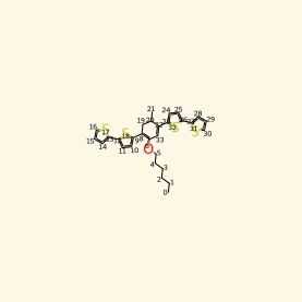 CCCCCCOC1=C(c2ccc(-c3cccs3)s2)CC(C)C(c2ccc(-c3cccs3)s2)=C1